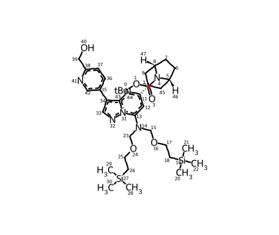 CC(C)(C)OC(=O)N1[C@@H]2CC[C@H]1C[C@@H](c1cc(N(COCC[Si](C)(C)C)COCC[Si](C)(C)C)n3ncc(-c4ccc(CO)nc4)c3n1)C2